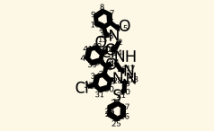 O=C(CN1C(=O)c2ccccc2C1=O)NCc1nnc(CSc2ccccc2)n1-c1ccc(Cl)cc1C(=O)c1ccccc1Cl